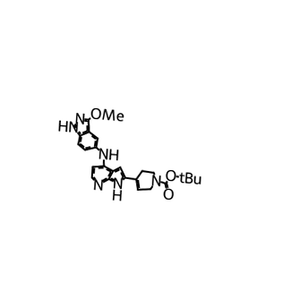 COc1n[nH]c2ccc(Nc3ccnc4[nH]c(C5=CCN(C(=O)OC(C)(C)C)CC5)cc34)cc12